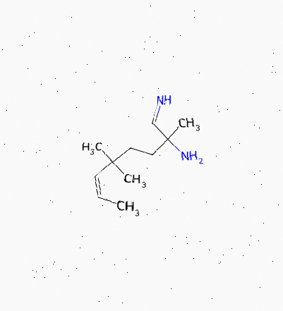 C/C=C\C(C)(C)CCC(C)(N)C=N